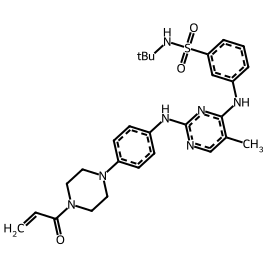 C=CC(=O)N1CCN(c2ccc(Nc3ncc(C)c(Nc4cccc(S(=O)(=O)NC(C)(C)C)c4)n3)cc2)CC1